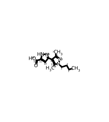 CCCCn1nc(C)c(-c2cc(C(=O)O)[nH]n2)c1C